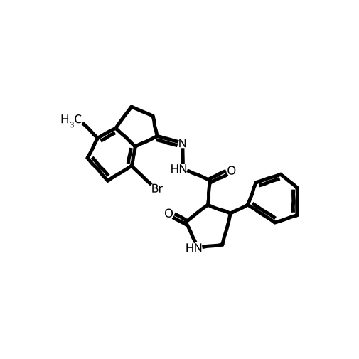 Cc1ccc(Br)c2c1CC/C2=N/NC(=O)C1C(=O)NCC1c1ccccc1